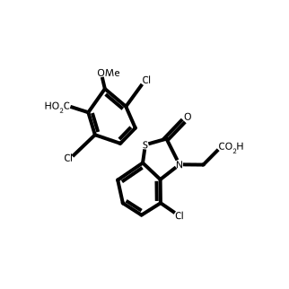 COc1c(Cl)ccc(Cl)c1C(=O)O.O=C(O)Cn1c(=O)sc2cccc(Cl)c21